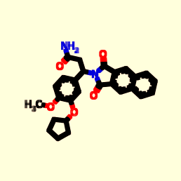 COc1ccc(C(CC(N)=O)N2C(=O)c3cc4ccccc4cc3C2=O)cc1OC1CCCC1